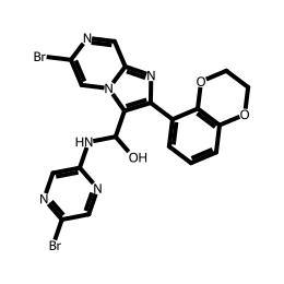 OC(Nc1cnc(Br)cn1)c1c(-c2cccc3c2OCCO3)nc2cnc(Br)cn12